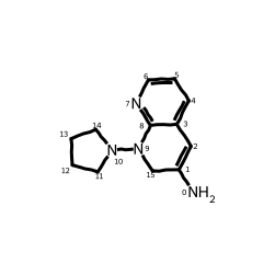 NC1=Cc2cccnc2N(N2CCCC2)C1